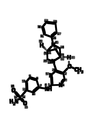 COc1cnc(Nc2cccc(S(N)(=O)=O)c2)nc1N1C[C@@H]2C[C@H]1CN2c1ccccc1